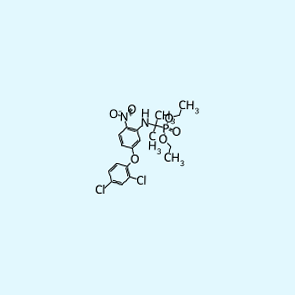 CCOP(=O)(OCC)C(C)(C)Nc1cc(Oc2ccc(Cl)cc2Cl)ccc1[N+](=O)[O-]